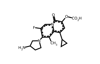 Cc1c(N2CCC(N)C2)c(F)cn2c(=O)c(OC(=O)O)cc(C3CC3)c12